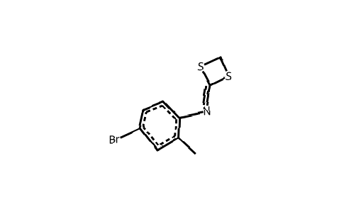 Cc1cc(Br)ccc1N=C1SCS1